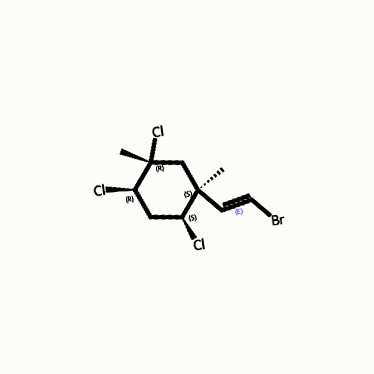 C[C@@]1(Cl)C[C@@](C)(/C=C/Br)[C@@H](Cl)C[C@H]1Cl